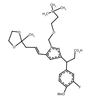 COc1ccc(C(CC(=O)O)c2cc(C=CCC3(C)OCCO3)n(COCC[Si](C)(C)C)n2)cc1F